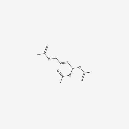 CC(=O)OCC=CC(OC(C)=O)OC(C)=O